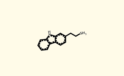 [SiH3]CCc1ccc2c(c1)[nH]c1ccccc12